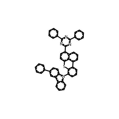 c1ccc(-c2ccc3c(c2)c2ccccc2n3-c2cccc3c2Sc2ccc(-c4nc(-c5ccccc5)nc(-c5ccccc5)n4)c4cccc-3c24)cc1